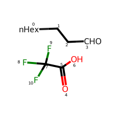 CCCCCCCCC=O.O=C(O)C(F)(F)F